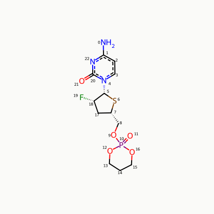 Nc1ccn([C@@H]2S[C@H](COP3(=O)OCCCO3)C[C@@H]2F)c(=O)n1